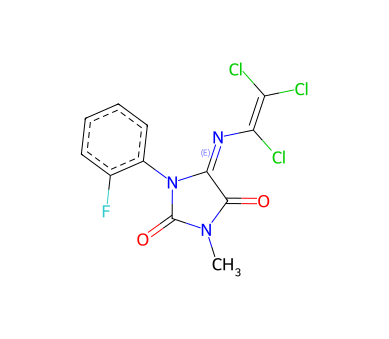 CN1C(=O)/C(=N\C(Cl)=C(Cl)Cl)N(c2ccccc2F)C1=O